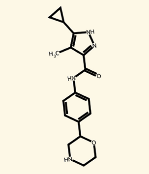 Cc1c(C(=O)Nc2ccc(C3CNCCO3)cc2)n[nH]c1C1CC1